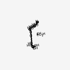 CC(=O)O.O=C(Nc1cccc(COCCCOCCCCCCCNC[C@H](O)c2ccc(O)c(CO)c2)c1)Nc1cccc(NC(=O)c2cccnc2)c1